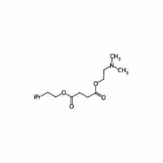 CC(C)CCOC(=O)CCC(=O)OCCN(C)C